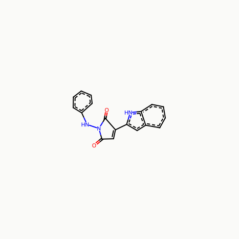 O=C1C=C(c2cc3ccccc3[nH]2)C(=O)N1Nc1ccccc1